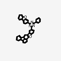 c1ccc(-c2nc(-c3ccc4c(c3)oc3ccccc34)nc(-c3ccc4oc5c6cccc7c6c(cc5c4c3)-c3ccccc3-7)n2)cc1